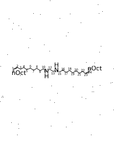 CCCCCCCC/C=C\CCCCCCCCNCCNCCCCCCCC/C=C\CCCCCCCC